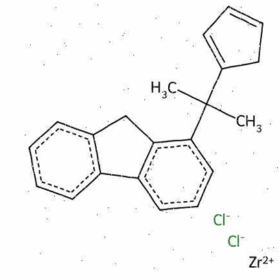 CC(C)(C1=CC=CC1)c1cccc2c1Cc1ccccc1-2.[Cl-].[Cl-].[Zr+2]